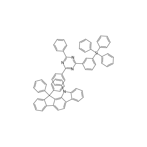 c1ccc(-c2nc(-c3cccc(-n4c5ccccc5c5ccc6c(c54)C(c4ccccc4)(c4ccccc4)c4ccccc4-6)c3)nc(-c3cccc([Si](c4ccccc4)(c4ccccc4)c4ccccc4)c3)n2)cc1